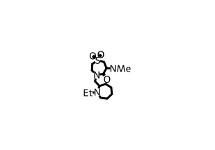 CCN1CCCCCC1CN1CCS(=O)(=O)CC(NC)C1=O